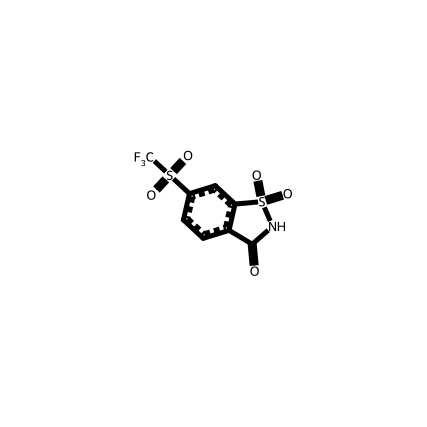 O=C1NS(=O)(=O)c2cc(S(=O)(=O)C(F)(F)F)ccc21